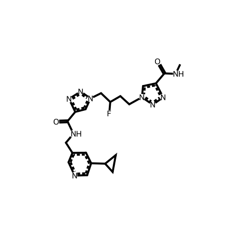 CNC(=O)c1cn(CCC(F)Cn2cc(C(=O)NCc3cncc(C4CC4)c3)nn2)nn1